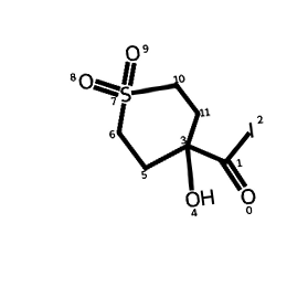 O=C(I)C1(O)CCS(=O)(=O)CC1